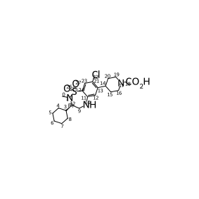 CN1[C@H](C2CCCCC2)CNc2cc(C3CCN(C(=O)O)CC3)c(Cl)cc2S1(=O)=O